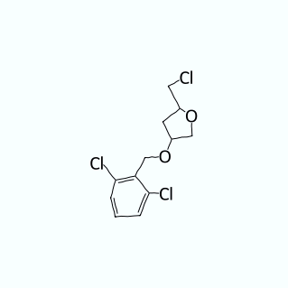 ClCC1CC(OCc2c(Cl)cccc2Cl)CO1